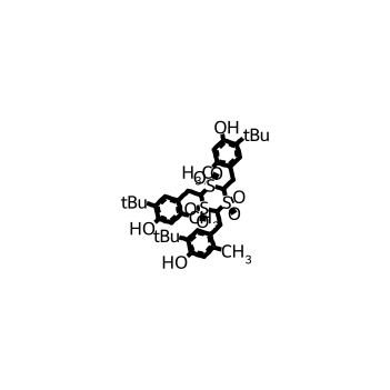 Cc1cc(O)c(C(C)(C)C)cc1CC1S(=O)(=O)C(Cc2cc(C(C)(C)C)c(O)cc2C)S(=O)(=O)C(Cc2cc(C(C)(C)C)c(O)cc2C)S1(=O)=O